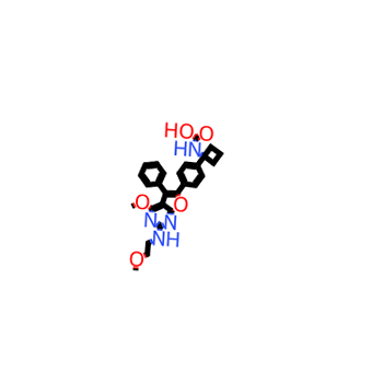 COCCNc1nc(OC)c2c(-c3ccccc3)c(-c3ccc(C4(NC(=O)O)CCC4)cc3)oc2n1